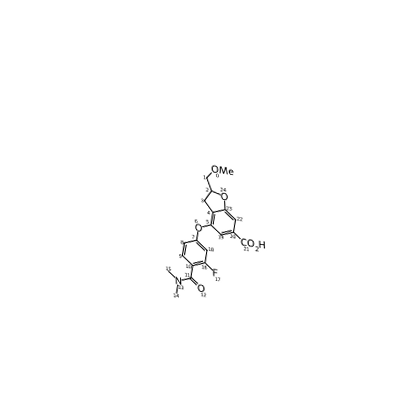 COCC1Cc2c(Oc3ccc(C(=O)N(C)C)c(F)c3)cc(C(=O)O)cc2O1